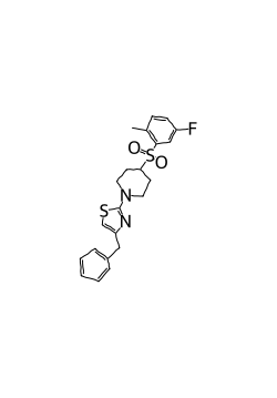 Cc1ccc(F)cc1S(=O)(=O)C1CCN(c2nc(Cc3ccccc3)cs2)CC1